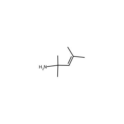 CC(C)=CC(C)(C)N